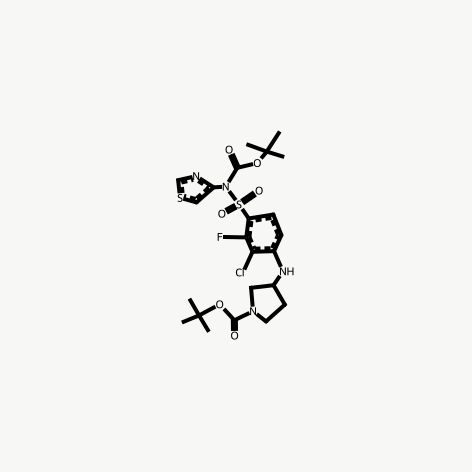 CC(C)(C)OC(=O)N1CCC(Nc2ccc(S(=O)(=O)N(C(=O)OC(C)(C)C)c3cscn3)c(F)c2Cl)C1